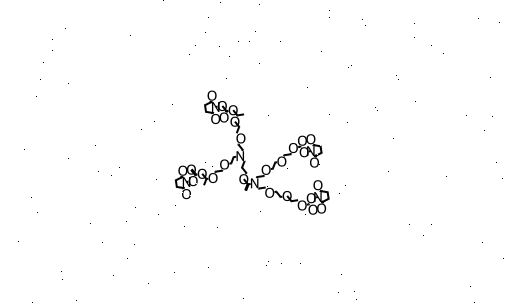 C=C(OCCCN(CCOCCOC(C)OC(=O)ON1C(=O)CCC1=O)CCOCCOC(C)OC(=O)ON1C(=O)CCC1=O)N(CCOCCOCCOC(=O)ON1C(=O)CCC1=O)CCOCCOCCOC(=O)ON1C(=O)CCC1=O